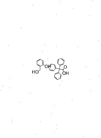 O=C(O)C(c1ccccc1)(c1ccccc1)c1ccccc1.OCc1ccccc1O